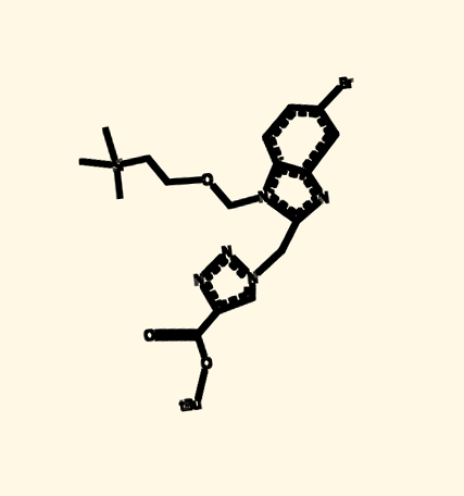 CC(C)(C)OC(=O)c1cn(Cc2nc3cc(Br)ccc3n2COCC[Si](C)(C)C)nn1